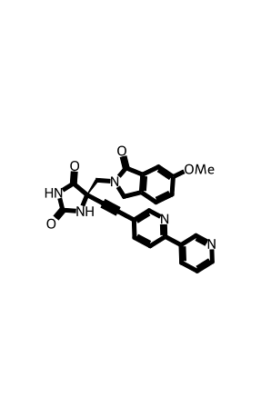 COc1ccc2c(c1)C(=O)N(C[C@@]1(C#Cc3ccc(-c4cccnc4)nc3)NC(=O)NC1=O)C2